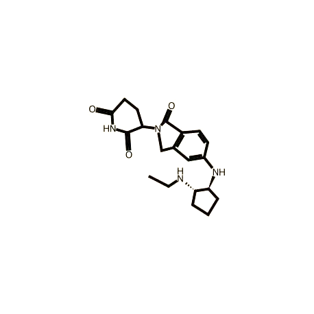 CCN[C@H]1CCC[C@@H]1Nc1ccc2c(c1)CN(C1CCC(=O)NC1=O)C2=O